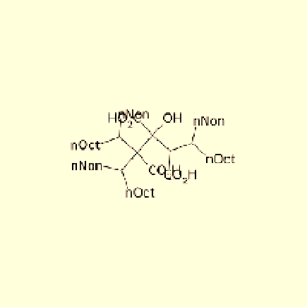 CCCCCCCCCC(CCCCCCCC)C(C(=O)O)C(O)(C(=O)O)C(C(=O)O)(C(CCCCCCCC)CCCCCCCCC)C(CCCCCCCC)CCCCCCCCC